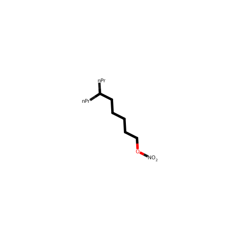 CCCC(CCC)CCCCCO[N+](=O)[O-]